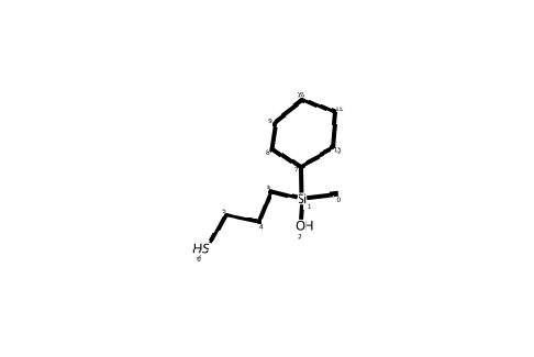 C[Si](O)(CCCS)C1CCCCC1